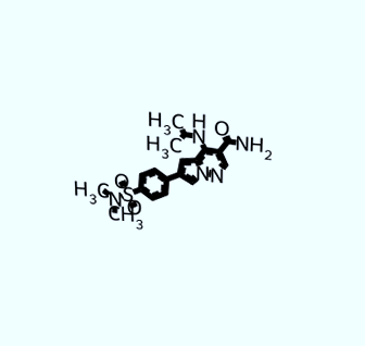 CC(C)Nc1c(C(N)=O)cnn2cc(-c3ccc(S(=O)(=O)N(C)C)cc3)cc12